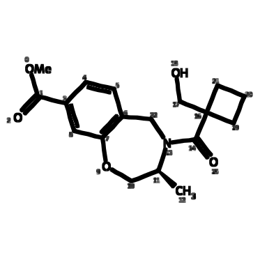 COC(=O)c1ccc2c(c1)OC[C@H](C)N(C(=O)C1(CO)CCC1)C2